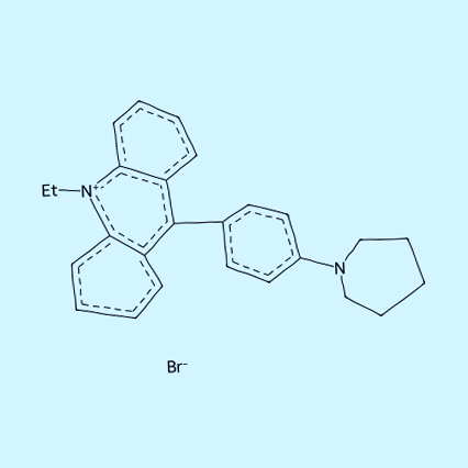 CC[n+]1c2ccccc2c(-c2ccc(N3CCCCC3)cc2)c2ccccc21.[Br-]